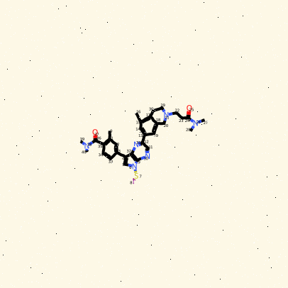 Cc1cc(-c2cn(SI)c3ncc(-c4cc(C)c5c(c4)CN(CCC(=O)N(C)C)CC5)nc23)ccc1C(=O)N(C)C